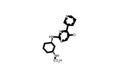 O=C(O)N[C@H]1CCC[C@@H](Nc2ncc(Cl)c(-c3cccnc3)n2)C1